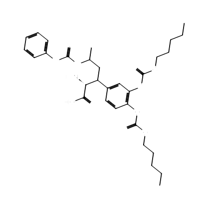 CCCCCOC(=O)Oc1ccc(C(CC(C)OC(=O)Oc2ccccc2)[C@H](N)C(=O)O)cc1OC(=O)OCCCCC